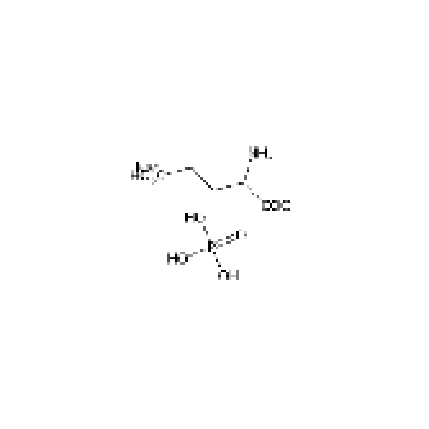 N[C@@H](CCC(=O)O)C(=O)[O-].O=P(O)(O)O.[Na+]